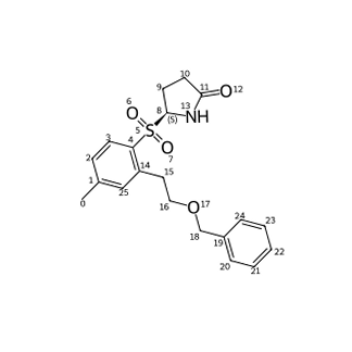 Cc1ccc(S(=O)(=O)[C@H]2CCC(=O)N2)c(CCOCc2ccccc2)c1